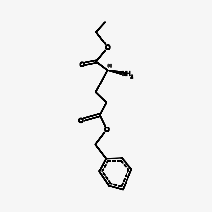 CCOC(=O)[C@@H](N)CCC(=O)OCc1ccccc1